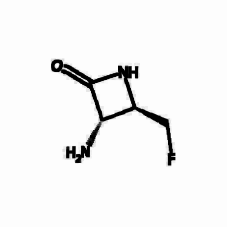 N[C@@H]1C(=O)N[C@H]1CF